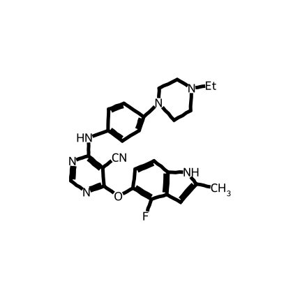 CCN1CCN(c2ccc(Nc3ncnc(Oc4ccc5[nH]c(C)cc5c4F)c3C#N)cc2)CC1